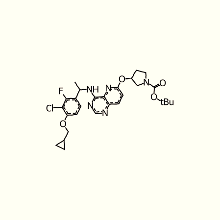 CC(Nc1ncnc2ccc(O[C@H]3CCN(C(=O)OC(C)(C)C)C3)nc12)c1ccc(OCC2CC2)c(Cl)c1F